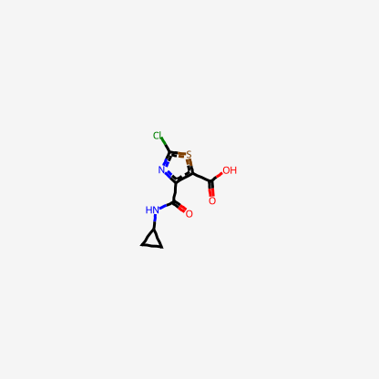 O=C(NC1CC1)c1nc(Cl)sc1C(=O)O